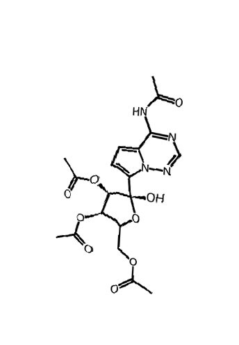 CC(=O)Nc1ncnn2c([C@]3(O)OC(COC(C)=O)[C@@H](OC(C)=O)[C@H]3OC(C)=O)ccc12